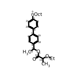 CCCCCCCCc1ccc(-c2ccc(C(C)OC(=O)C(C)OCC)cc2)cc1